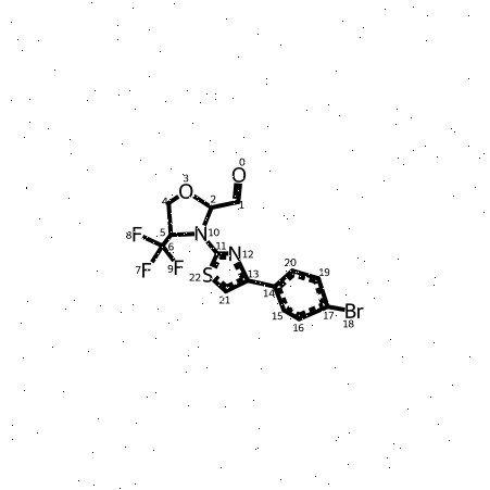 O=CC1OCC(C(F)(F)F)N1c1nc(-c2ccc(Br)cc2)cs1